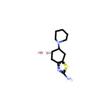 Br.Br.Nc1nc2c(s1)CC(N1CCCCC1)CC2